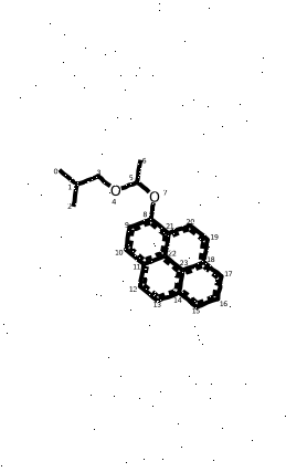 CC(C)COC(C)Oc1ccc2ccc3cccc4ccc1c2c34